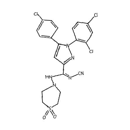 N#CN=C(NN1CCS(=O)(=O)CC1)c1cc(-c2ccc(Cl)cc2)n(-c2ccc(Cl)cc2Cl)n1